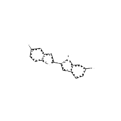 Cn1c(-c2cc3cc(Br)ccc3[nH]2)cc2ccc(Br)cc21